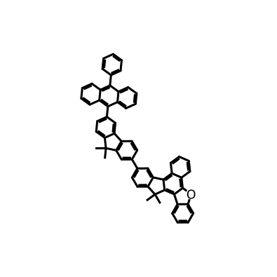 CC1(C)c2ccc(-c3c4ccccc4c(-c4ccccc4)c4ccccc34)cc2-c2ccc(-c3ccc4c(c3)-c3c(c5c6ccccc6oc5c5ccccc35)C4(C)C)cc21